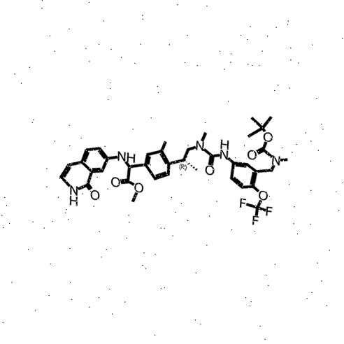 COC(=O)C(Nc1ccc2cc[nH]c(=O)c2c1)c1ccc([C@@H](C)CN(C)C(=O)Nc2ccc(OC(F)(F)F)c(CN(C)C(=O)OC(C)(C)C)c2)c(C)c1